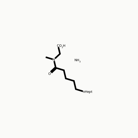 CCCCCCCCCCCC(=O)N(C)CC(=O)O.N